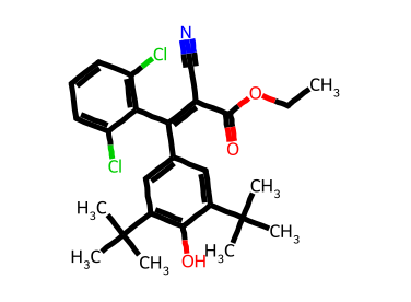 CCOC(=O)C(C#N)=C(c1cc(C(C)(C)C)c(O)c(C(C)(C)C)c1)c1c(Cl)cccc1Cl